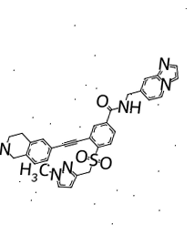 Cn1ccc(CS(=O)(=O)c2ccc(C(=O)NCc3ccn4ccnc4c3)cc2C#Cc2ccc3c(c2)CCNC3)n1